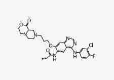 C=CC(=O)Nc1cc2c(Nc3ccc(F)c(Cl)c3)ncnc2cc1OCCCN1CCN2CCOC(=O)C2C1